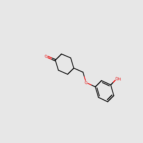 O=C1CCC(COc2cccc(O)c2)CC1